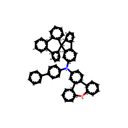 c1ccc(-c2ccc(N(c3ccc4c(c3)-c3ccccc3Oc3ccccc3-4)c3ccc4c(c3)C3(c5ccccc5-c5ccccc5-c5ccccc53)c3ccccc3-4)cc2)cc1